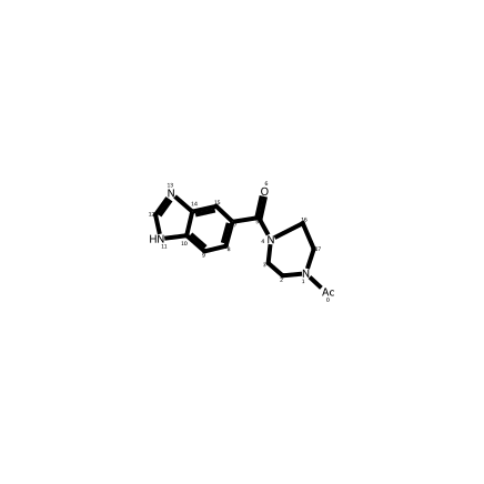 CC(=O)N1CCN(C(=O)c2ccc3[nH]cnc3c2)CC1